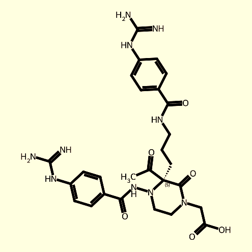 CC(=O)[C@@]1(CCCNC(=O)c2ccc(NC(=N)N)cc2)C(=O)N(CC(=O)O)CCN1NC(=O)c1ccc(NC(=N)N)cc1